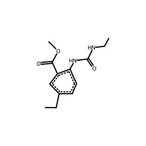 CCNC(=O)Nc1ccc(CC)cc1C(=O)OC